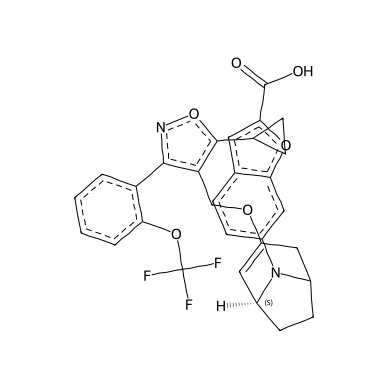 O=C(O)c1cc2ccc(N3C4CC[C@H]3C=C(OCc3c(-c5ccccc5OC(F)(F)F)noc3C3CC3)C4)cc2o1